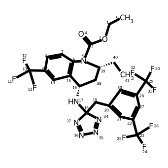 CCOC(=O)N1c2ccc(C(F)(F)F)cc2[C@@H](NC2(Cc3cc(C(F)(F)F)cc(C(F)(F)F)c3)N=NN=N2)C[C@H]1CC